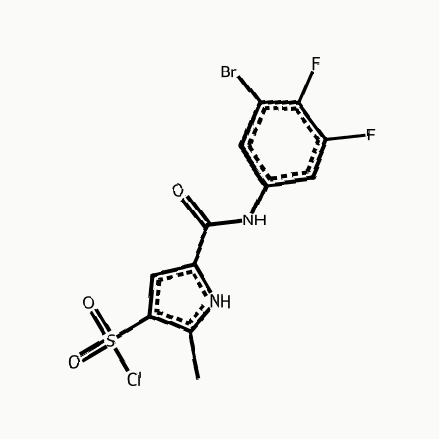 Cc1[nH]c(C(=O)Nc2cc(F)c(F)c(Br)c2)cc1S(=O)(=O)Cl